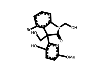 COc1ccc(O)c(C2(CO)C(=O)N(CO)c3cccc(Br)c32)n1